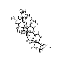 CC1CC2C3CCC4C(C)C(F)(F)CCC45CC35CCC2(C)C1C1(C)CCC(C(C)(C)O)O1